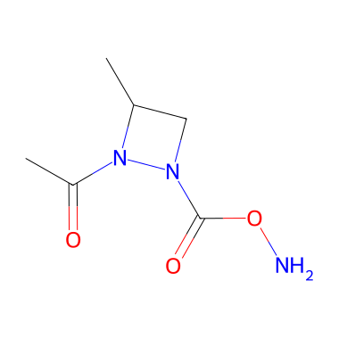 CC(=O)N1C(C)CN1C(=O)ON